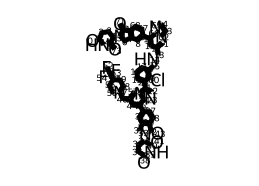 O=C1CCC(N2Cc3cc(-c4cc(CNCc5cccc(-c6cnc7c(-c8ccc9c(c8)CN(C8CCC(=O)NC8=O)C9=O)cc(CN8CCC(C(F)(F)F)CC8)cn67)c5Cl)cn5ccnc45)ccc3C2=O)C(=O)N1